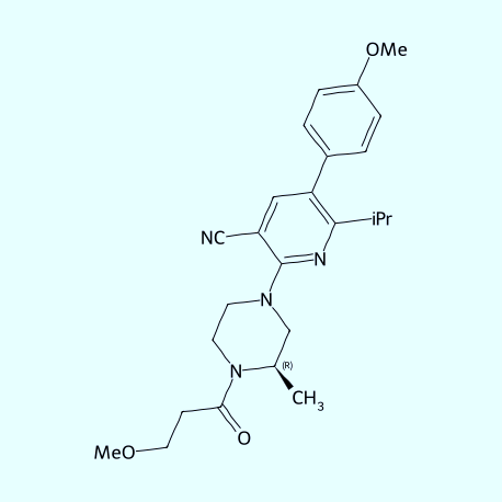 COCCC(=O)N1CCN(c2nc(C(C)C)c(-c3ccc(OC)cc3)cc2C#N)C[C@H]1C